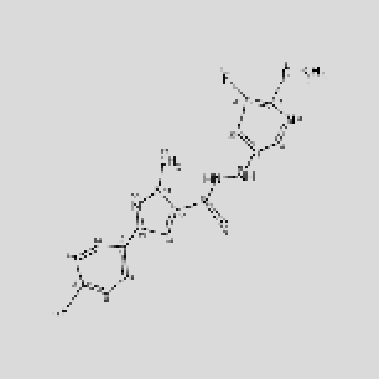 COc1ncc(NNC(=O)c2cc(-c3ccc(F)cc3)nn2C)cc1F